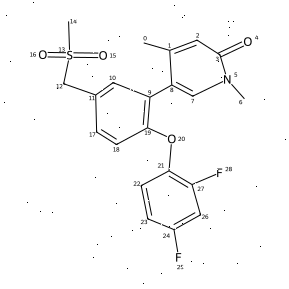 Cc1cc(=O)n(C)cc1-c1cc(CS(C)(=O)=O)ccc1Oc1ccc(F)cc1F